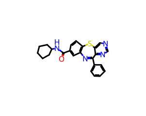 O=C(NC1CCCCC1)c1ccc2c(c1)N=C(c1ccccc1)c1ncncc1S2